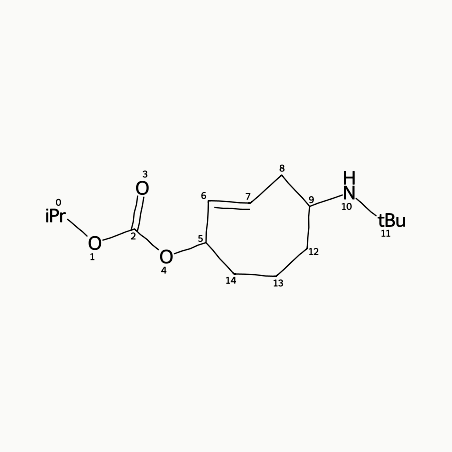 CC(C)OC(=O)OC1/C=C/CC(NC(C)(C)C)CCC1